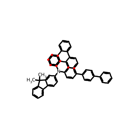 CC1(C)c2ccccc2-c2ccc(N(c3ccc(-c4ccc(-c5ccccc5)cc4)cc3)c3ccccc3-c3ccccc3-c3ccccc3-c3ccccc3)cc21